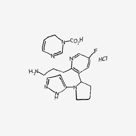 Cl.NCCCc1ncc(F)cc1C1CCCN1c1ccn[nH]1.O=C(O)N1C=NC=CC1